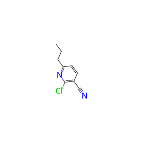 CCCc1ccc(C#N)c(Cl)n1